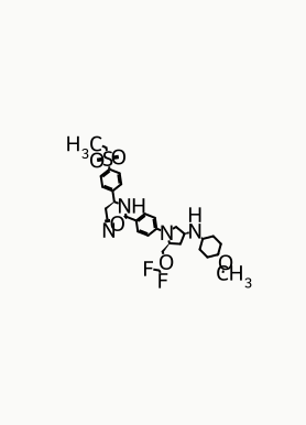 CCS(=O)(=O)c1ccc([C@H](CC#N)NC(=O)c2ccc(N3C[C@@H](N[C@H]4CC[C@H](OC)CC4)C[C@H]3COC(F)F)cc2)cc1